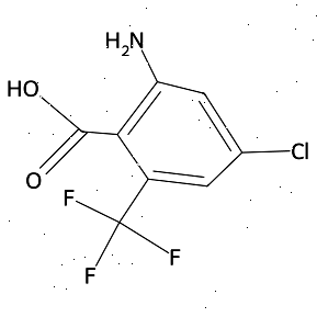 Nc1cc(Cl)cc(C(F)(F)F)c1C(=O)O